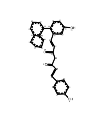 O=C(/C=C/c1ccc(O)cc1)CC(=O)/C=C/c1cc(O)ccc1-c1cccc2ccccc12